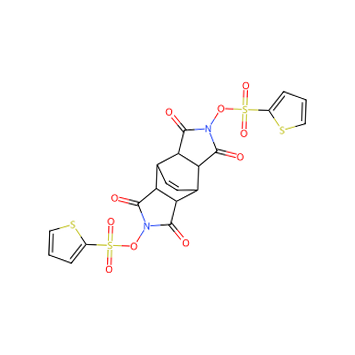 O=C1C2C3C=CC(C2C(=O)N1OS(=O)(=O)c1cccs1)C1C(=O)N(OS(=O)(=O)c2cccs2)C(=O)C31